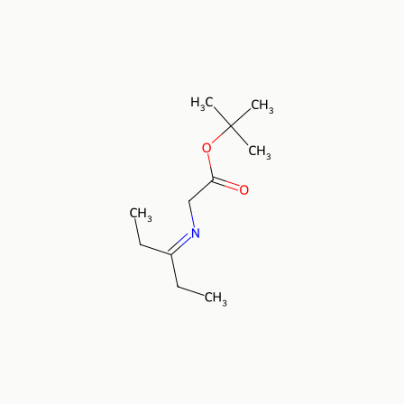 CCC(CC)=NCC(=O)OC(C)(C)C